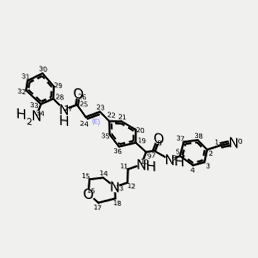 N#Cc1ccc(NC(=O)C(NCCN2CCOCC2)c2ccc(/C=C/C(=O)Nc3ccccc3N)cc2)cc1